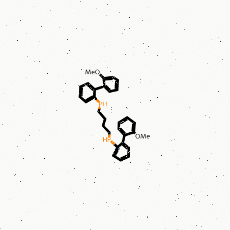 COc1ccccc1-c1ccccc1PCCCCPc1ccccc1-c1ccccc1OC